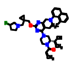 C=CC(=O)N1CCN(c2nc(OCC3(CN4CC[C@@H](F)C4)CC3)nc3c2CCN(c2cccc4cccc(C)c24)C3)C[C@@H]1C(=C)C#N